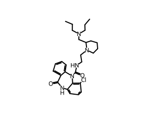 CCCN(CCC)CC1CCCCN1CCNC(=O)N1c2ccccc2C(=O)Nc2cccc(Cl)c21